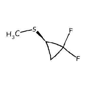 CS[C@@H]1CC1(F)F